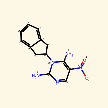 NC1=C([N+](=O)[O-])C=NC(N)N1C1Cc2ccccc2C1